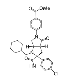 COC(=O)c1ccc(N2C[C@@H]3[C@@H](C[C@@]4(C(=O)Nc5cc(Cl)ccc54)N3CC3CCCCC3)C2=O)cc1